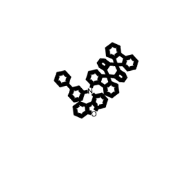 c1ccc(-c2cccc(N(c3cccc4c3-c3ccccc3C43c4ccccc4C4(c5ccccc5-c5ccccc54)c4ccccc43)c3cccc4oc5ccccc5c34)c2)cc1